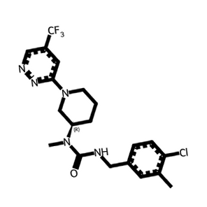 Cc1cc(CNC(=O)N(C)[C@@H]2CCCN(c3cc(C(F)(F)F)cnn3)C2)ccc1Cl